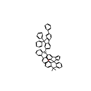 CC1(C)c2ccccc2C2(c3ccccc3-c3cc(N(c4ccc5c(c4)C(c4ccccc4)(c4ccccc4)c4cc(-c6ccccc6)ccc4-5)c4ccccc4-c4ccccc4)ccc32)c2ccccc21